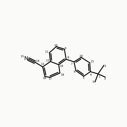 CC(C)(C)c1ccc(-c2cccc3c(C#N)cccc23)cc1